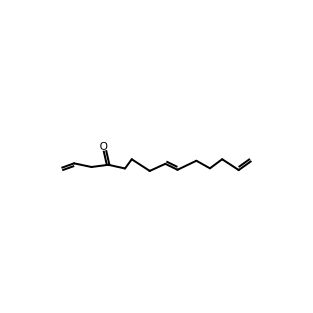 C=CCCCC=CCCCC(=O)CC=C